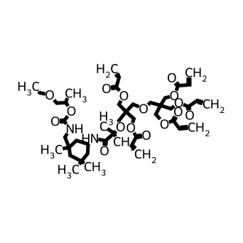 C=CC(=O)OCC(COCC(COC(=O)C=C)(COC(=O)C=C)COC(C)(C)C(=O)NC1CC(C)(C)CC(C)(CNC(=O)OC(C)COCC)C1)(COC(=O)C=C)COC(=O)C=C